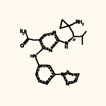 CC(C)[C@@H](Nc1ncc(C(N)=O)c(Nc2cccc(-n3nccn3)c2)n1)C1(N)CC1